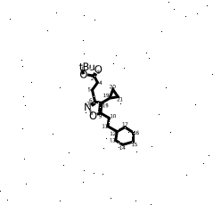 CC(C)(C)OC(=O)CCc1noc(CCC2CCCCC2)c1C1CC1